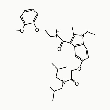 CCn1c(C)c(C(=O)NCCOc2ccccc2OC)c2cc(OCC(=O)N(CC(C)C)CC(C)C)ccc21